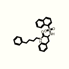 O=C(NCCCCc1ccccc1)C(Cc1cc[c]cc1)NS(=O)(=O)c1cccc2ccccc12